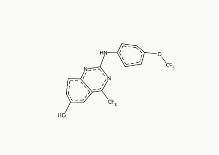 Oc1ccc2nc(Nc3ccc(OC(F)(F)F)cc3)nc(C(F)(F)F)c2c1